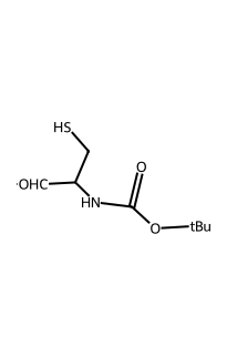 CC(C)(C)OC(=O)NC([C]=O)CS